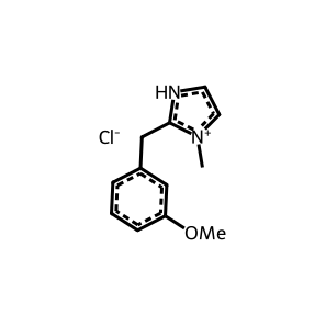 COc1cccc(Cc2[nH]cc[n+]2C)c1.[Cl-]